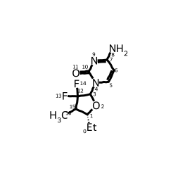 CC[C@H]1OC(n2ccc(N)nc2=O)C(F)(F)C1C